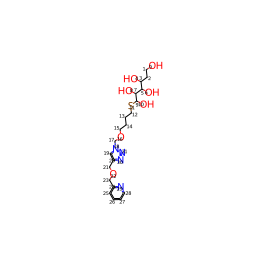 OCCC(O)C(O)C(O)C(O)SCCCCOCn1cc(COCc2ccccn2)nn1